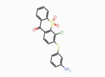 Nc1cccc(Sc2ccc3c(c2Cl)S(=O)(=O)c2ccccc2C3=O)c1